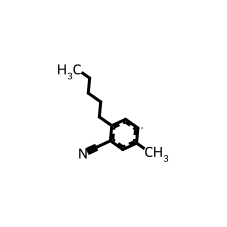 CCCCCc1c[c]c(C)cc1C#N